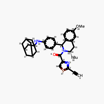 C#Cc1nc(C(=O)N2C(c3ccc(NC45CC6CC(CC(C6)C4)C5)cc3)c3ccc(OC)cc3C[C@@H]2CCCC)cs1